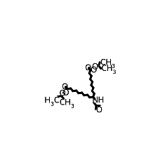 CCC(CC)OOC(=O)CCCCCCCCC(CCCCCCCCC(=O)OOC(CC)CC)NCC1COC1